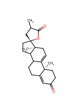 CC1C[C@@]2(CCC3C4CCC5=CC(=O)CC[C@]5(C)C4=CC[C@@]32C)OC1=O